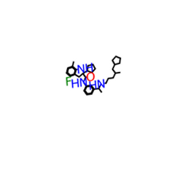 Cc1ccc(F)c2c1NC(C(=O)Nc1cccc(C(C)NCCCC(C)CC3CCCC3)c1)(C1CCCC1)C2